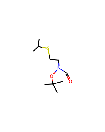 CC(C)SCCN(C=O)OC(C)(C)C